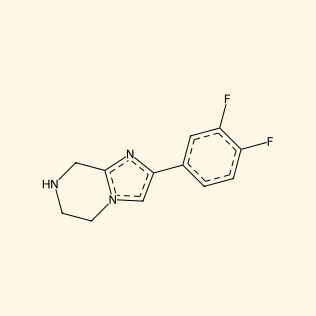 Fc1ccc(-c2cn3c(n2)CNCC3)cc1F